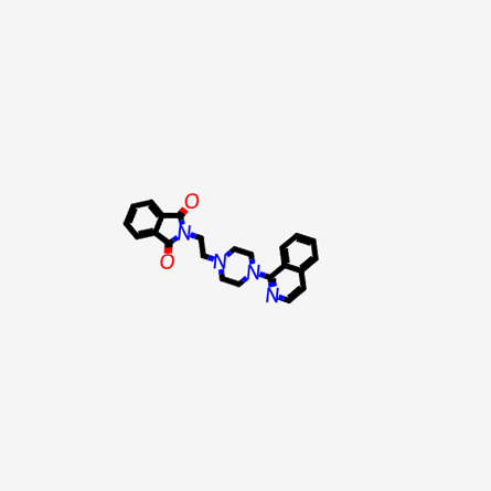 O=C1c2ccccc2C(=O)N1CCN1CCN(c2nccc3ccccc23)CC1